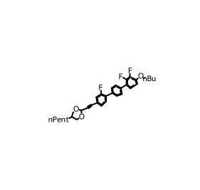 CCCCCC1COC(C#Cc2ccc(-c3ccc(-c4ccc(OCCCC)c(F)c4F)cc3)c(F)c2)OC1